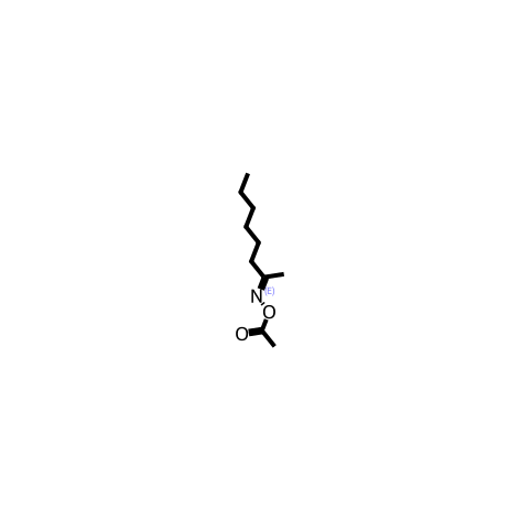 CCCCCC/C(C)=N/OC(C)=O